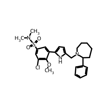 COc1c(Cl)cc(S(=O)(=O)N(C)C)cc1-c1ccc(CN2CCCCCC2c2ccccc2)[nH]1